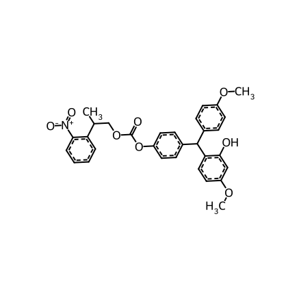 COc1ccc(C(c2ccc(OC(=O)OCC(C)c3ccccc3[N+](=O)[O-])cc2)c2ccc(OC)cc2O)cc1